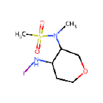 CN(C1COCCC1NI)S(C)(=O)=O